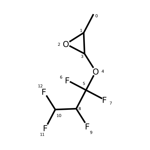 CC1OC1OC(F)(F)C(F)C(F)F